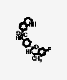 C[C@@H](NC(=O)[C@H]1CC[C@H](NS(=O)(=O)c2ccc3c(c2)NCCC3)CC1)c1ccc(F)cc1